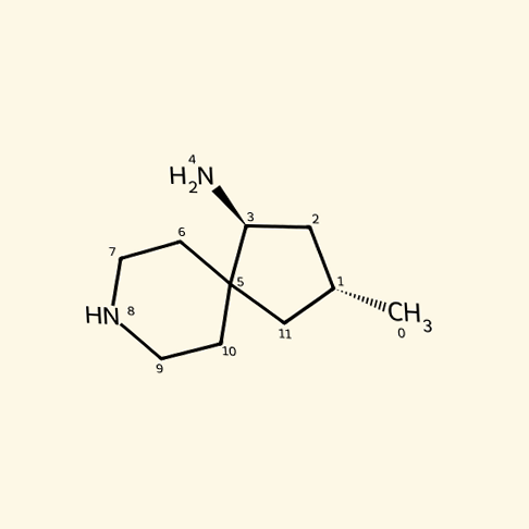 C[C@H]1C[C@H](N)C2(CCNCC2)C1